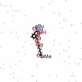 CCCCC(=O)N[C@H]1Cc2cccc(C(=O)OCOC(=O)CCCCC(=O)OC)c2OB1O